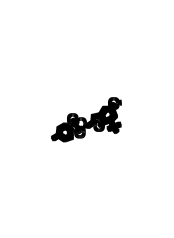 COc1cc2c(c(C(C)(C)C)c1)OC(COS(=O)(=O)c1ccc(C)cc1)C2